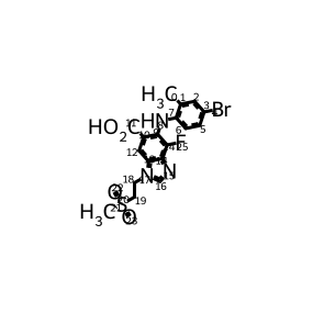 Cc1cc(Br)ccc1Nc1c(C(=O)O)cc2c(ncn2CCS(C)(=O)=O)c1F